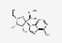 O=C([O-])[C@@]1(n2cnc3c(O)ncnc32)O[C@H](CO)[C@@H](O)[C@H]1O.[Na+]